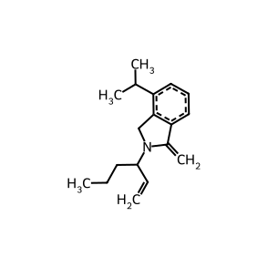 C=CC(CCC)N1Cc2c(cccc2C(C)C)C1=C